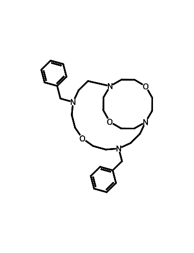 c1ccc(CN2CCOCCN(Cc3ccccc3)CCN3CCOCCN(CCOCC3)CC2)cc1